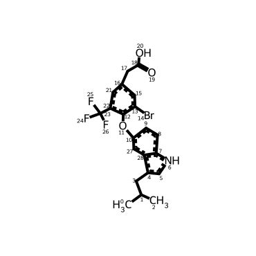 CC(C)Cc1c[nH]c2ccc(Oc3c(Br)cc(CC(=O)O)cc3C(F)(F)F)cc12